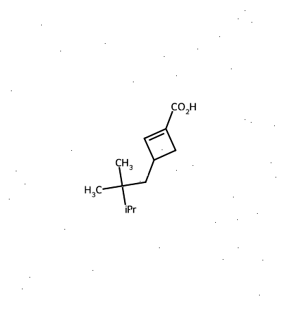 CC(C)C(C)(C)CC1C=C(C(=O)O)C1